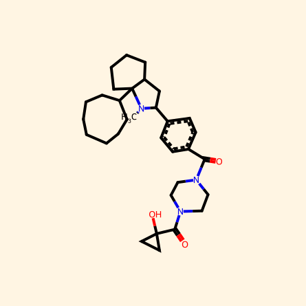 CN1C(c2ccc(C(=O)N3CCN(C(=O)C4(O)CC4)CC3)cc2)CC2CCCCC21C1CCCCCCC1